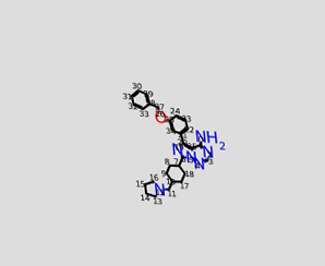 Nc1ncnn2c(C3CCC(CN4CCCC4)CC3)nc(-c3cccc(OCc4ccccc4)c3)c12